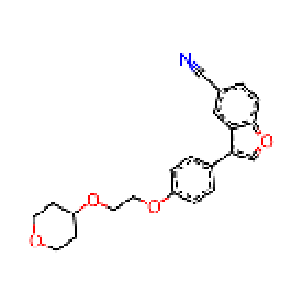 N#Cc1ccc2occ(-c3ccc(OCCOC4CCOCC4)cc3)c2c1